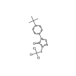 CC(C)(C)c1ccc(-n2cnn(SC(Cl)(Cl)Cl)c2=O)cc1